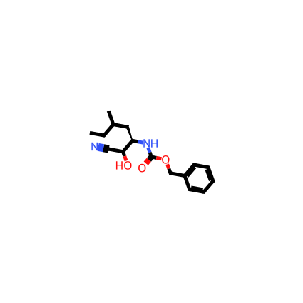 CCC(C)C[C@@H](NC(=O)OCc1ccccc1)C(O)C#N